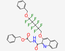 O=C(CNC(=O)c1nc2ccccc2cc1OCC(F)(F)C(F)(F)C(F)(F)C(F)(F)OCc1ccccc1)OCc1ccccc1